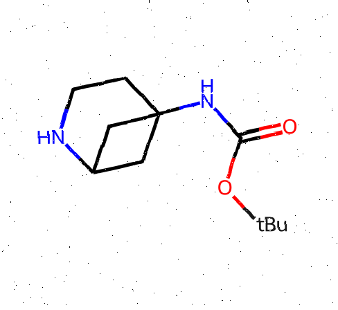 CC(C)(C)OC(=O)NC12CCNC(C1)C2